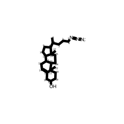 CC(CCCN=[N+]=[N-])C1CCC2C3CC=C4CC(O)CCC4(C)C3CCC12C